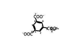 O=C([O-])c1cc(C(=O)[O-])cc(C(=O)[O-])c1.[Ru+3]